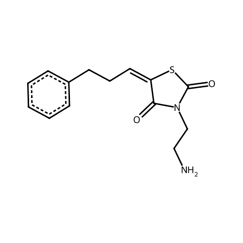 NCCN1C(=O)SC(=CCCc2ccccc2)C1=O